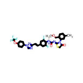 COCc1ccc(C)cc1N1C(=O)CS/C1=N\C(=O)Nc1c(F)cc(/C=C/c2ncn(-c3ccc(OC(F)(F)F)cc3)n2)cc1F